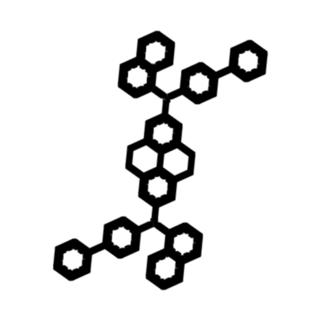 c1ccc(-c2ccc(N(c3cc4c5c(c3)CCc3cc(N(c6ccc(-c7ccccc7)cc6)c6cccc7ccccc67)cc(c3-5)CC4)c3cccc4ccccc34)cc2)cc1